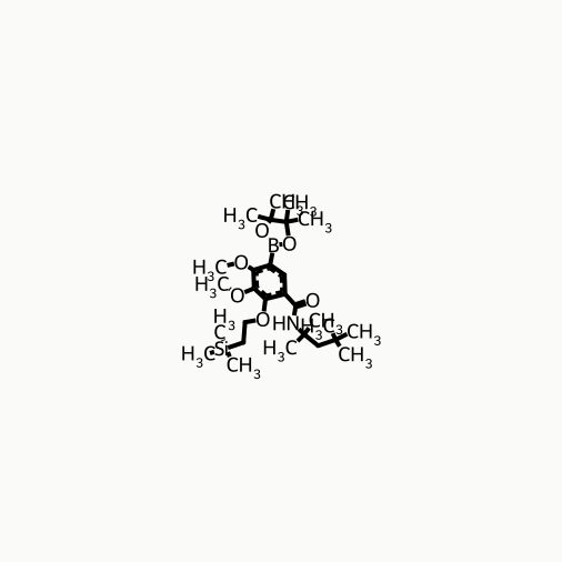 COc1c(B2OC(C)(C)C(C)(C)O2)cc(C(=O)NC(C)(C)CC(C)(C)C)c(OCC[Si](C)(C)C)c1OC